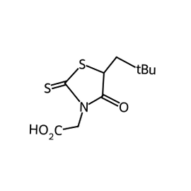 CC(C)(C)CC1SC(=S)N(CC(=O)O)C1=O